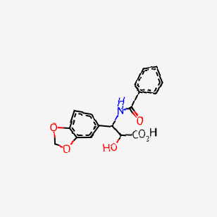 O=C(NC(c1ccc2c(c1)OCO2)C(O)C(=O)O)c1ccccc1